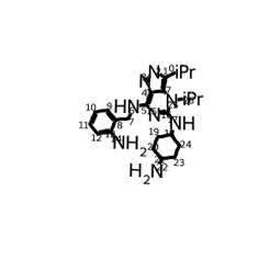 CC(C)c1nnc2c(NCc3ccccc3N)nc(NC3CCC(N)CC3)n(C(C)C)c1-2